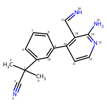 CC(C)(C#N)c1cccc(-c2ccnc(N)c2C=N)c1